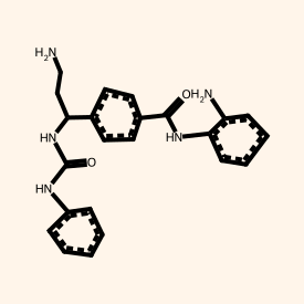 NCCC(NC(=O)Nc1ccccc1)c1ccc(C(=O)Nc2ccccc2N)cc1